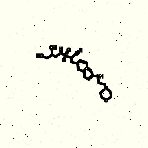 N#C/C(=C\c1ccc2cc(NCCN3CCOCC3)ccc2c1)S(=O)(=O)NCC(O)CO